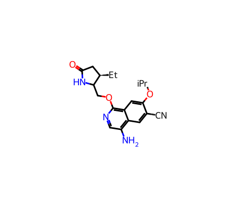 CC[C@@H]1CC(=O)NC1COc1ncc(N)c2cc(C#N)c(OC(C)C)cc12